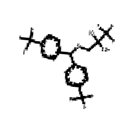 OC(O)(CSC(c1ccc(C(F)(F)F)cc1)c1ccc(C(F)(F)F)cc1)C(F)(F)F